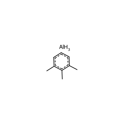 Cc1cccc(C)c1C.[AlH3]